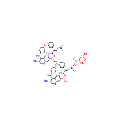 CCOc1cc2ncc(C#N)c(Nc3ccc(Oc4ccccc4)cc3)c2cc1NC(=O)/C=C/CN(C)C.CCOc1cc2ncc(C#N)c(Nc3ccc(Oc4ccccc4)cc3)c2cc1NC(=O)/C=C/CN(C)C.O=C(O)CC(O)C(=O)O